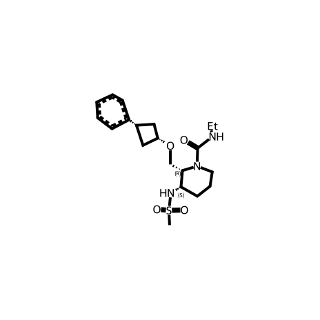 CCNC(=O)N1CCC[C@H](NS(C)(=O)=O)[C@@H]1CO[C@H]1C[C@@H](c2ccccc2)C1